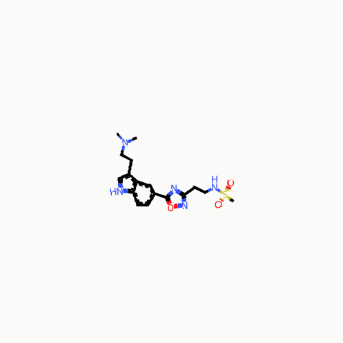 CN(C)CCc1c[nH]c2ccc(-c3nc(CCNS(C)(=O)=O)no3)cc12